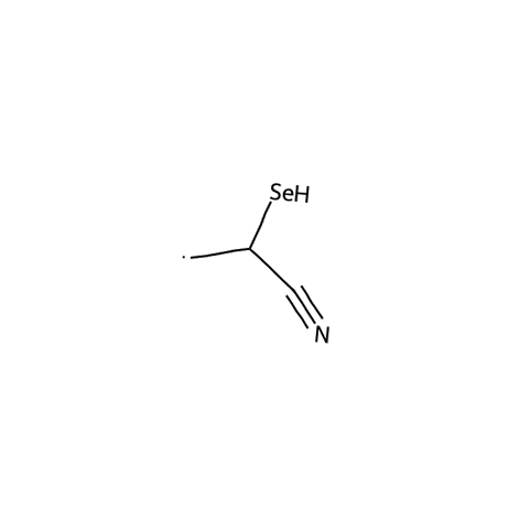 [CH2]C([SeH])C#N